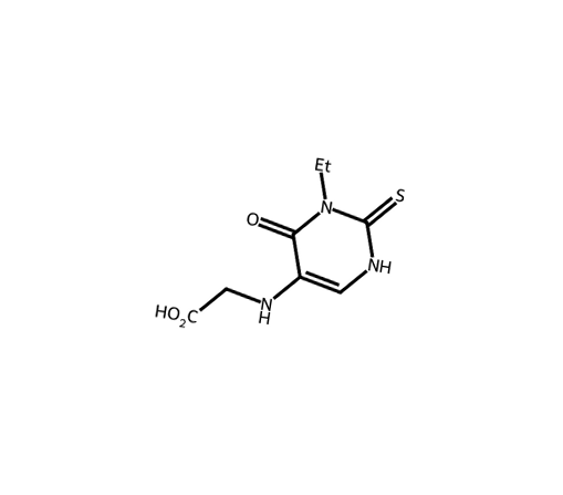 CCn1c(=S)[nH]cc(NCC(=O)O)c1=O